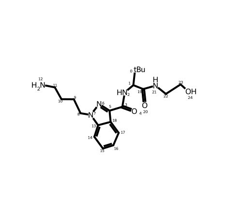 CC(C)(C)C(NC(=O)c1nn(CCCCN)c2ccccc12)C(=O)NCCO